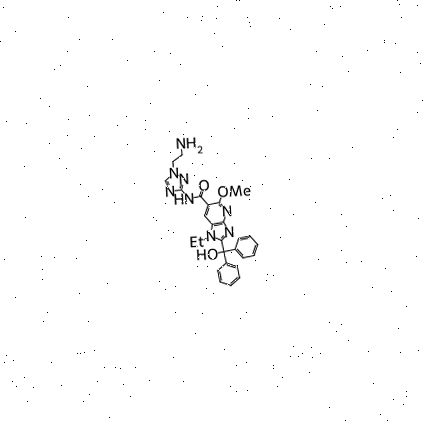 CCn1c(C(O)(c2ccccc2)c2ccccc2)nc2nc(OC)c(C(=O)Nc3ncn(CCN)n3)cc21